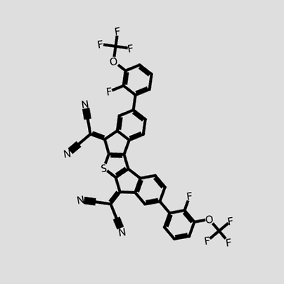 N#CC(C#N)=C1c2cc(-c3cccc(OC(F)(F)F)c3F)ccc2-c2c1sc1c2-c2ccc(-c3cccc(OC(F)(F)F)c3F)cc2C1=C(C#N)C#N